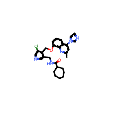 Cc1cc(-n2ccnc2)c2cccc(OCc3c(Cl)cncc3CNC(=O)C3CCCCCC3)c2n1